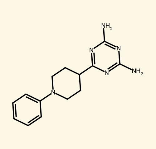 Nc1nc(N)nc(C2CCN(c3ccccc3)CC2)n1